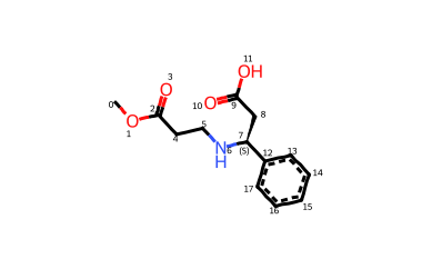 COC(=O)CCN[C@@H](CC(=O)O)c1ccccc1